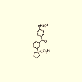 CCCCCCCc1ccc(C(=O)c2cccc(C3(C(=O)O)CCCC3)c2)cc1